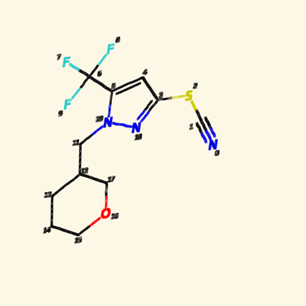 N#CSc1cc(C(F)(F)F)n(CC2CCCOC2)n1